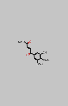 COC(=O)/C=C/C(=O)c1cc(C#N)c(OC)c(OC)c1